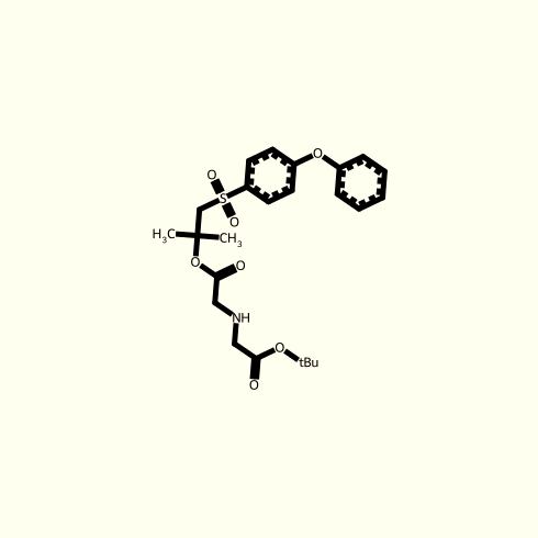 CC(C)(C)OC(=O)CNCC(=O)OC(C)(C)CS(=O)(=O)c1ccc(Oc2ccccc2)cc1